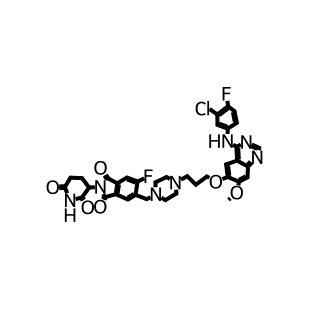 COc1cc2ncnc(Nc3ccc(F)c(Cl)c3)c2cc1OCCCN1CCN(Cc2cc3c(cc2F)C(=O)N(C2CCC(=O)NC2=O)C3=O)CC1